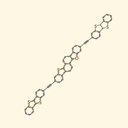 C(#Cc1ccc2c(c1)oc1c2ccc2c1ccc1c3ccc(C#Cc4ccc5c(c4)sc4c6ccccc6sc54)cc3sc12)c1ccc2c(c1)SC1c3ccccc3SC21